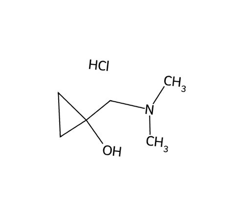 CN(C)CC1(O)CC1.Cl